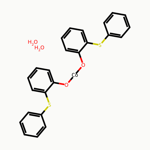 O.O.c1ccc(Sc2ccccc2[O][Co][O]c2ccccc2Sc2ccccc2)cc1